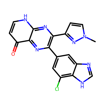 Cn1ccc(-c2nc3[nH]ccc(=O)c3nc2-c2cc(Cl)c3[nH]cnc3c2)n1